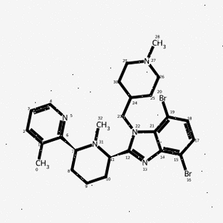 Cc1cccnc1[C@@H]1CCC[C@H](c2nc3c(Br)ccc(Br)c3n2CC2CCN(C)CC2)N1C